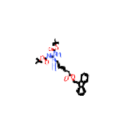 CC(C)(C)OC(=O)/N=C(\NCCCCCC(=O)OCC1c2ccccc2-c2ccccc21)NC(=O)OC(C)(C)C